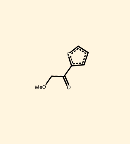 COCC(=O)c1cccs1